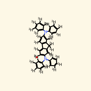 [2H]c1c([2H])c([2H])c(N(c2c([2H])c([2H])c([2H])c([2H])c2[2H])c2c([2H])c([2H])c3c(c2[2H])C([2H])([2H])c2c([2H])c(N(c4c([2H])c([2H])c([2H])c([2H])c4[2H])c4c([2H])c([2H])c([2H])c([2H])c4[2H])c([2H])c([2H])c2-3)c([2H])c1[2H]